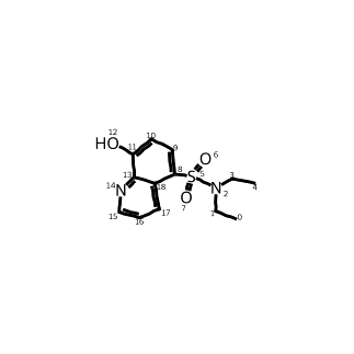 CCN(CC)S(=O)(=O)c1ccc(O)c2ncccc12